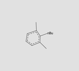 [CH2]CCCc1c(C)cccc1C